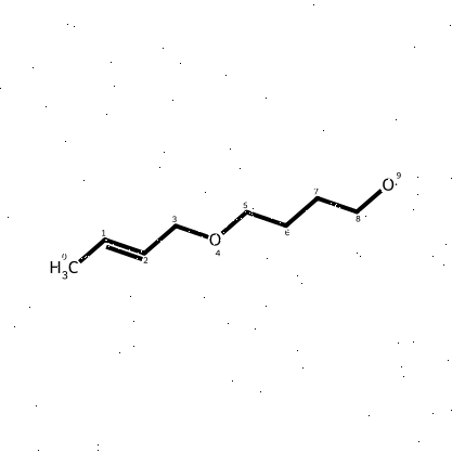 C/C=C/COCCCC[O]